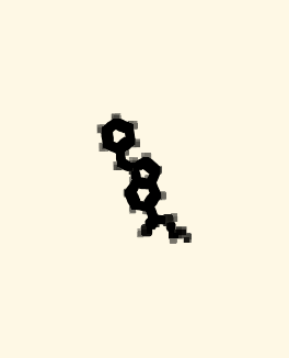 NOC(=O)c1ccc2c(ccn2Cc2ccccc2)c1